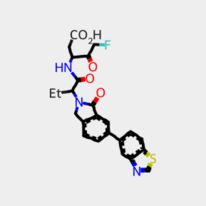 CCC(C(=O)NC(CC(=O)O)C(=O)CF)N1Cc2ccc(-c3ccc4scnc4c3)cc2C1=O